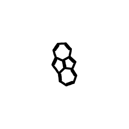 c1ccc2cc3ccccc4cc(c1)c2c43